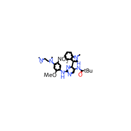 COc1cc(N(C)CCN(C)C)c([N+](=O)[O-])cc1Nc1ncc(NC(=O)C(C)(C)C)c(-c2cn(C)c3ccccc23)n1